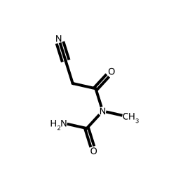 CN(C(N)=O)C(=O)CC#N